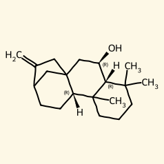 C=C1CC23CC1CC[C@H]2C1(C)CCCC(C)(C)[C@H]1[C@H](O)C3